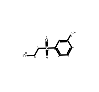 [CH2]CCc1cccc(S(=O)(=O)CCC(C)C)c1